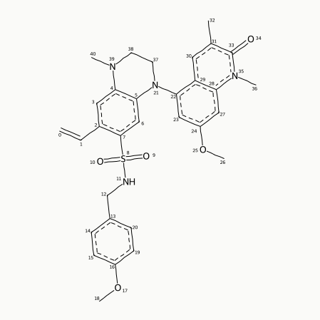 C=Cc1cc2c(cc1S(=O)(=O)NCc1ccc(OC)cc1)N(c1cc(OC)cc3c1cc(C)c(=O)n3C)CCN2C